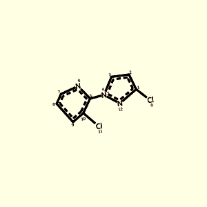 Clc1ccn(-c2ncccc2Cl)n1